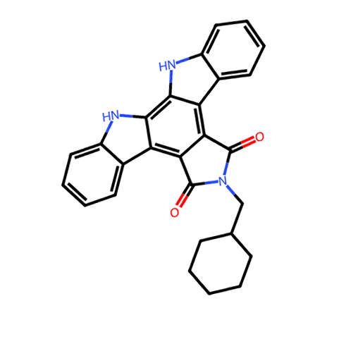 O=C1c2c(c3c4ccccc4[nH]c3c3[nH]c4ccccc4c23)C(=O)N1CC1CCCCC1